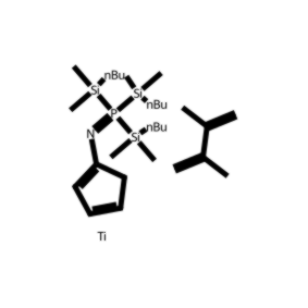 C=C(C)C(=C)C.CCCC[Si](C)(C)P(=NC1=CC=CC1)([Si](C)(C)CCCC)[Si](C)(C)CCCC.[Ti]